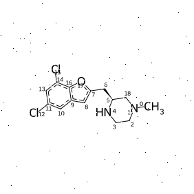 CN1CCN[C@@H](Cc2cc3cc(Cl)cc(Cl)c3o2)C1